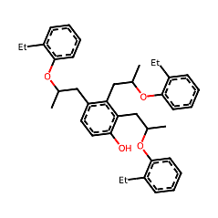 CCc1ccccc1OC(C)Cc1ccc(O)c(CC(C)Oc2ccccc2CC)c1CC(C)Oc1ccccc1CC